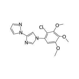 COc1cc(-n2cnc(-n3cccn3)c2)c(Cl)c(OC)c1OC